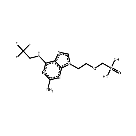 Nc1nc(NCC(F)(F)F)c2ncn(CCOCP(=O)(O)O)c2n1